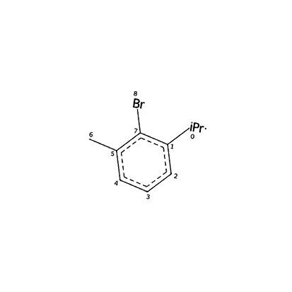 C[C](C)c1cccc(C)c1Br